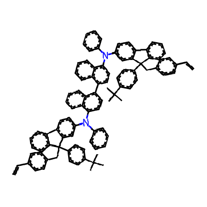 C=Cc1ccc(CC2(c3ccc(C(C)(C)C)cc3)c3ccccc3-c3ccc(N(c4ccccc4)c4ccc(-c5ccc(N(c6ccccc6)c6ccc7c(c6)C(Cc6ccc(C=C)cc6)(c6ccc(C(C)(C)C)cc6)c6ccccc6-7)c6ccccc56)c5ccccc45)cc32)cc1